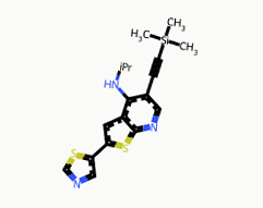 CC(C)Nc1c(C#C[Si](C)(C)C)cnc2sc(-c3cncs3)cc12